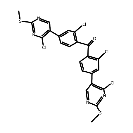 CSc1ncc(-c2ccc(C(=O)c3ccc(-c4cnc(SC)nc4Cl)cc3Cl)c(Cl)c2)c(Cl)n1